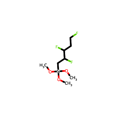 CO[Si](CC(F)C(F)CCF)(OC)OC